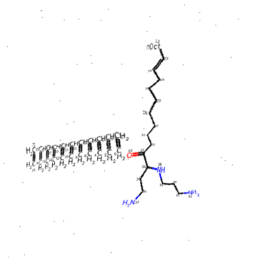 C=C.C=C.C=C.C=C.C=C.C=C.C=C.C=C.C=C.C=C.C=C.CCCCCCCCC=CCCCCCCCC(=O)C(CCN)NCCCN